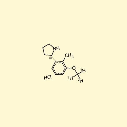 Cl.[2H]C([2H])([2H])Oc1cccc([C@@H]2CCCN2)c1C